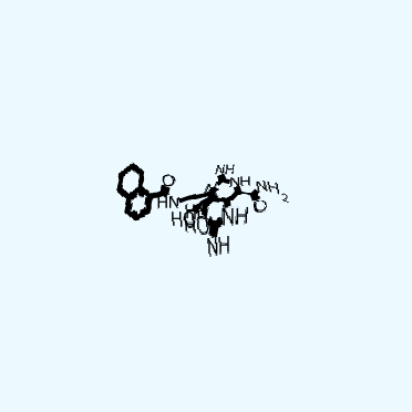 N=C1NC2[C@H](C(N)=O)NC(=N)N3CC(NC(=O)c4cccc5c4CCCC5)C(O)(O)C23N1